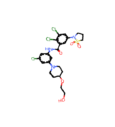 O=C(Nc1cc(Cl)cc(N2CCC(OCCO)CC2)c1)c1cc(N2CCCS2(=O)=O)cc(Cl)c1Cl